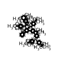 CC(C)(C)c1ccc(N2B3c4oc5cc6c(cc5c4N(c4ccc(C(C)(C)C)cc4)c4c3c(cc3c4oc4ccccc43)-c3cc4c(cc32)C(C)(C)c2ccc(N(c3ccc(C(C)(C)C)cc3)c3ccc(C(C)(C)C)cc3)cc2-4)C(C)(C)CCC6(C)C)cc1